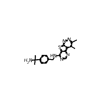 Cc1nnc2sc3c(NCc4ccc(C(C)(C)N)cc4)ncnc3c2c1C